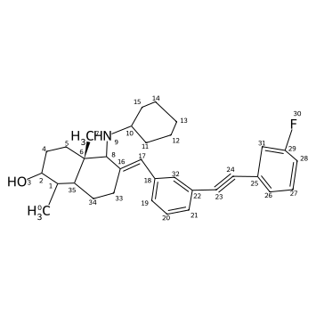 CC1C(O)CC[C@]2(C)C(NC3CCCCC3)/C(=C/c3cccc(C#Cc4cccc(F)c4)c3)CCC12